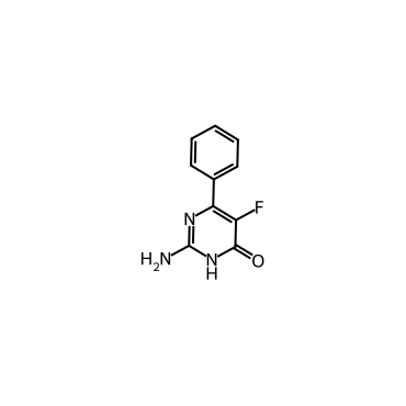 Nc1nc(-c2ccccc2)c(F)c(=O)[nH]1